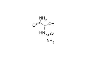 NC(=O)C(O)NC(N)=S